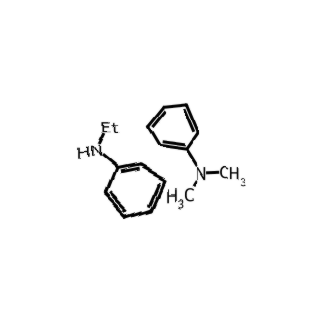 CCNc1ccccc1.CN(C)c1ccccc1